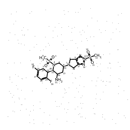 CS(=O)(=O)N1C[C@@H](N2Cc3cn(S(C)(=O)=O)nc3C2)CC(N)[C@H]1C1CC(F)=CC=C1F